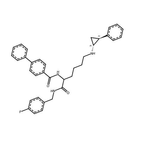 O=C(NC(CCCCN[C@@H]1C[C@H]1c1ccccc1)C(=O)NCc1ccc(F)cc1)c1ccc(-c2ccccc2)cc1